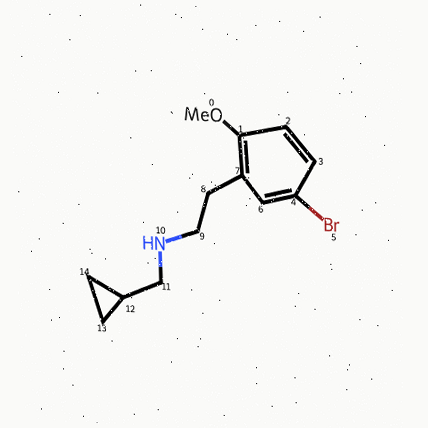 COc1ccc(Br)cc1CCNCC1CC1